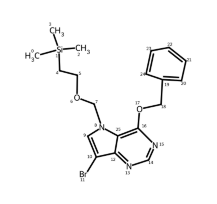 C[Si](C)(C)CCOCn1cc(Br)c2ncnc(OCc3ccccc3)c21